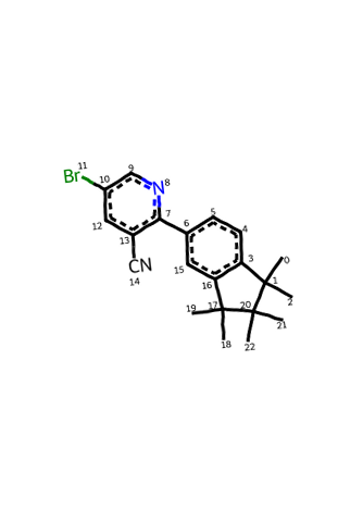 CC1(C)c2ccc(-c3ncc(Br)cc3C#N)cc2C(C)(C)C1(C)C